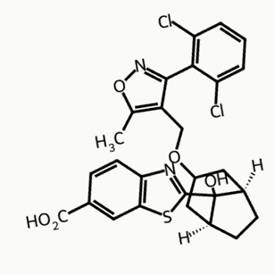 Cc1onc(-c2c(Cl)cccc2Cl)c1COC1C[C@H]2CC[C@@H](C1)C2(O)c1nc2ccc(C(=O)O)cc2s1